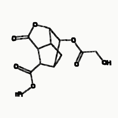 CCCOC(=O)C1C2CC3C(OC(=O)C31)C2OC(=O)CO